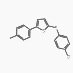 Cc1ccc(-c2ccc(Sc3ccc(Cl)cc3)s2)cc1